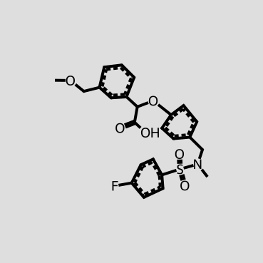 COCc1cccc(C(Oc2ccc(CN(C)S(=O)(=O)c3ccc(F)cc3)cc2)C(=O)O)c1